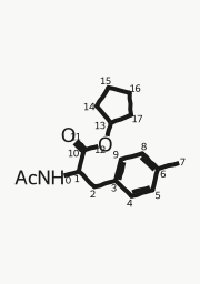 CC(=O)NC(Cc1ccc(C)cc1)C(=O)OC1CCCC1